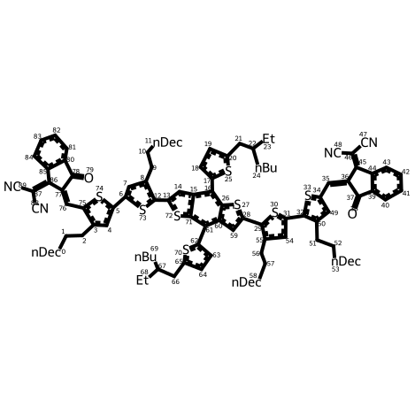 CCCCCCCCCCCCc1cc(-c2cc(CCCCCCCCCCCC)c(-c3cc4c(-c5ccc(CC(CC)CCCC)s5)c5sc(-c6sc(-c7sc(/C=C8\C(=O)c9ccccc9C8=C(C#N)C#N)cc7CCCCCCCCCCCC)cc6CCCCCCCCCCCC)cc5c(-c5ccc(CC(CC)CCCC)s5)c4s3)s2)sc1/C=C1\C(=O)c2ccccc2C1=C(C#N)C#N